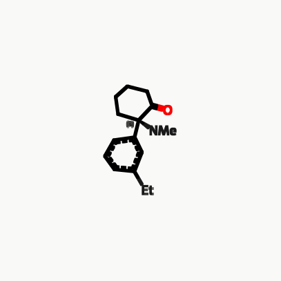 CCc1cccc([C@]2(NC)CCCCC2=O)c1